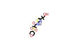 CC(C)(CO)c1csc(NC(=O)C(C)(C)S(=O)(=O)C2CCOCC2)n1